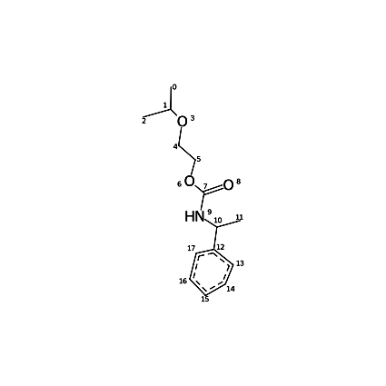 CC(C)OCCOC(=O)NC(C)c1ccccc1